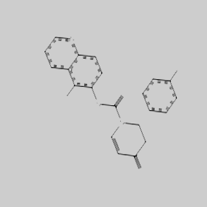 CCc1c(NC(=O)N2C=CC(=O)C[C@H]2c2ccc(F)cc2)ccc2ncccc12